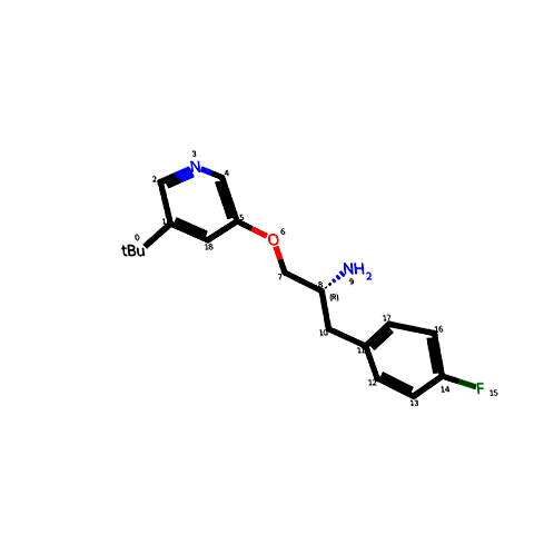 CC(C)(C)c1cncc(OC[C@H](N)Cc2ccc(F)cc2)c1